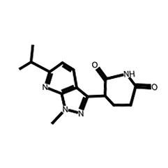 CC(C)c1ccc2c(C3CCC(=O)NC3=O)nn(C)c2n1